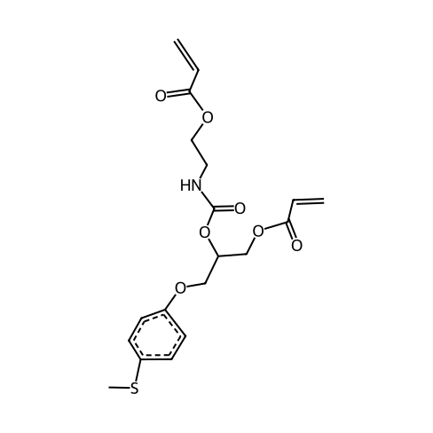 C=CC(=O)OCCNC(=O)OC(COC(=O)C=C)COc1ccc(SC)cc1